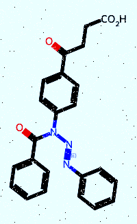 O=C(O)CCC(=O)c1ccc(N(/N=N/c2ccccc2)C(=O)c2ccccc2)cc1